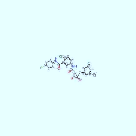 O=C(Nc1ccc(F)cc1)c1cc(NC(=O)[C@@H]2[C@@H](c3cc(Cl)cc(Cl)c3)C2(Br)Br)ccc1Cl